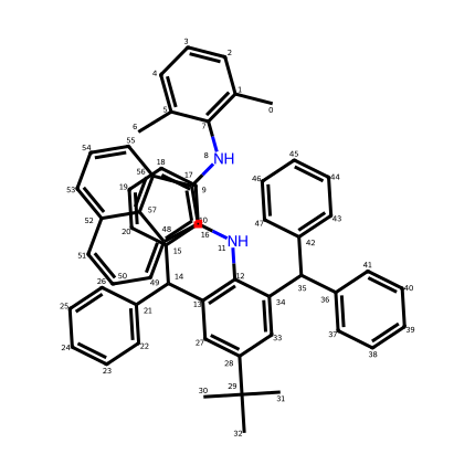 Cc1cccc(C)c1NC1=C(Nc2c(C(c3ccccc3)c3ccccc3)cc(C(C)(C)C)cc2C(c2ccccc2)c2ccccc2)c2cccc3cccc1c23